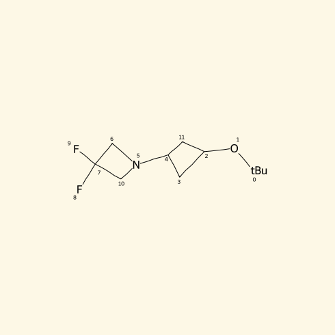 CC(C)(C)OC1CC(N2CC(F)(F)C2)C1